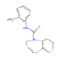 O=C(O)c1ccccc1NC(=O)N1CC=Cc2ccccc21